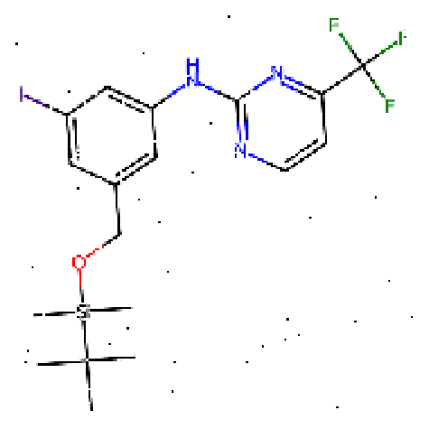 CC(C)(C)[Si](C)(C)OCc1cc(I)cc(Nc2nccc(C(F)(F)F)n2)c1